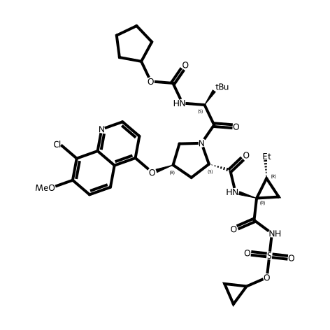 CC[C@@H]1C[C@]1(NC(=O)[C@@H]1C[C@@H](Oc2ccnc3c(Cl)c(OC)ccc23)CN1C(=O)[C@@H](NC(=O)OC1CCCC1)C(C)(C)C)C(=O)NS(=O)(=O)OC1CC1